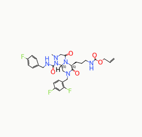 C=CCOC(=O)NCCC[C@H]1C(=O)N(Cc2ccc(F)cc2F)C[C@H]2N1C(=O)CN(C)N2C(=O)NCc1ccc(F)cc1